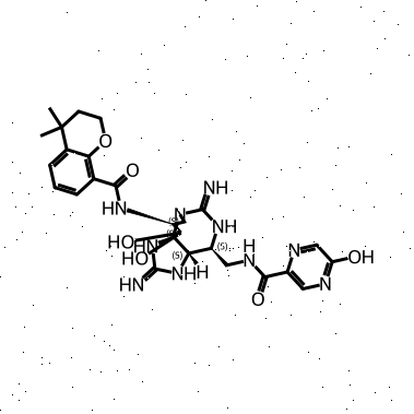 CC1(C)CCOc2c(C(=O)N[C@H]3CN4C(=N)N[C@@H](CNC(=O)c5cnc(O)cn5)[C@@H]5NC(=N)N[C@@]54C3(O)O)cccc21